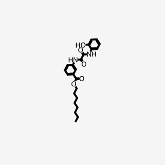 CCCCCCCCOC(=O)c1cccc(NC(=O)C(=O)Nc2ccccc2O)c1